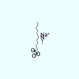 CC#N.CCCCCCCCCCS(=O)(=O)[O-].[Na+]